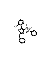 O=S(=O)(Nc1nc(Cc2ccccc2)oc1-c1c(Cl)cccc1Cl)c1ccccc1